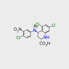 CC(=O)N(c1ccc(Cl)c([N+](=O)[O-])c1)[C@@H]1C[C@@H](C(=O)O)Nc2cc(Cl)cc(Cl)c21